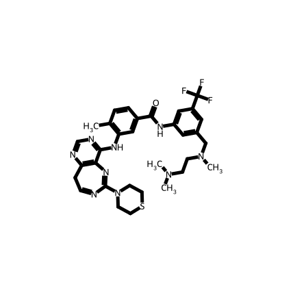 Cc1ccc(C(=O)Nc2cc(CN(C)CCN(C)C)cc(C(F)(F)F)c2)cc1Nc1ncnc2c1N=C(N1CCSCC1)N=CC2